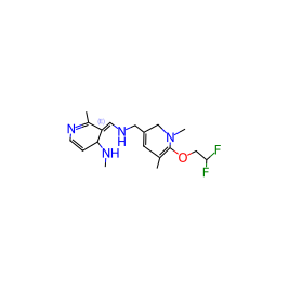 CNC1C=CN=C(C)/C1=C/NCC1=CC(C)=C(OCC(F)F)N(C)C1